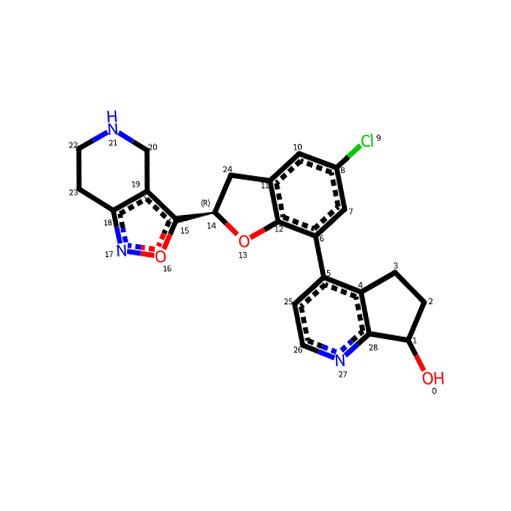 OC1CCc2c(-c3cc(Cl)cc4c3O[C@@H](c3onc5c3CNCC5)C4)ccnc21